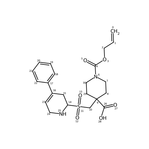 C=CCOC(=O)N1CCC(CS(=O)(=O)C2CC(c3ccccc3)=CCN2)(C(=O)O)CC1